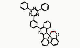 c1ccc(-c2nc(-c3ccccc3)nc(-c3cccc(-c4nc5c(c6ccccc46)C4(c6ccccc6Oc6ccccc64)c4ccccc4-5)c3)n2)cc1